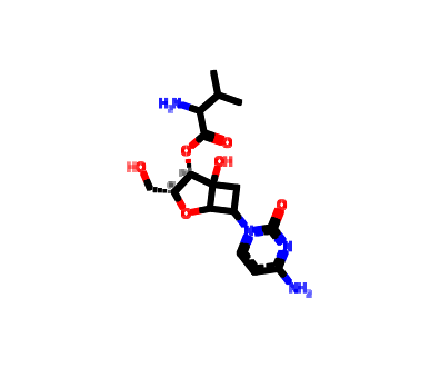 CC(C)C(N)C(=O)O[C@H]1[C@@H](CO)OC2C(n3ccc(N)nc3=O)CC21O